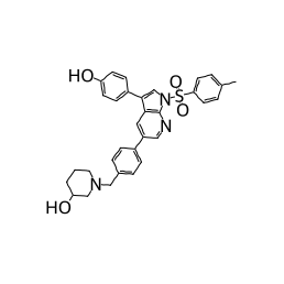 Cc1ccc(S(=O)(=O)n2cc(-c3ccc(O)cc3)c3cc(-c4ccc(CN5CCCC(O)C5)cc4)cnc32)cc1